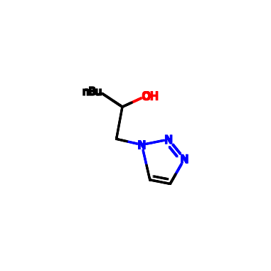 CCCCC(O)Cn1ccnn1